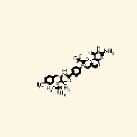 Cc1ccc(C[C@H](NC(=O)c2ccc(N(Cc3cnc4nc(N)[nH]c(=O)c4n3)C(=O)C(F)(F)F)cc2)C(=O)OC(C)(C)C)cc1